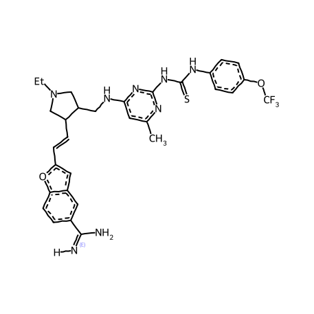 [H]/N=C(/N)c1ccc2oc(C=CC3CN(CC)CC3CNc3cc(C)nc(NC(=S)Nc4ccc(OC(F)(F)F)cc4)n3)cc2c1